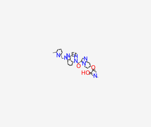 CCc1nn(Cc2cccc(C)n2)c2cccc(NC(=O)c3cnc4cc(O[C@@H]5CN(C)C[C@H]5O)ccn34)c12